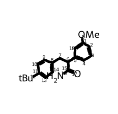 COc1cccc(C(Cc2ccc(C(C)(C)C)cc2)C(N)=O)c1